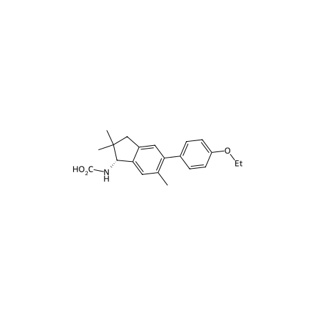 CCOc1ccc(-c2cc3c(cc2C)[C@H](NC(=O)O)C(C)(C)C3)cc1